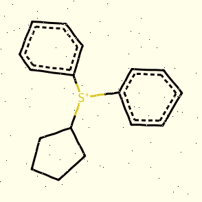 c1ccc([S+](c2ccccc2)C2CCCC2)cc1